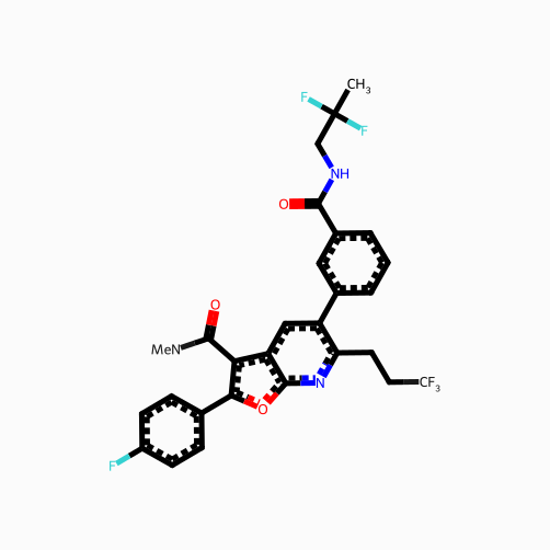 CNC(=O)c1c(-c2ccc(F)cc2)oc2nc(CCC(F)(F)F)c(-c3cccc(C(=O)NCC(C)(F)F)c3)cc12